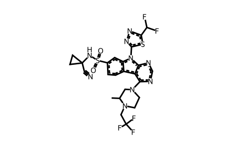 CC1CN(c2ncnc3c2c2ccc(S(=O)(=O)NC4(C#N)CC4)cc2n3-c2nnc(C(F)F)s2)CCN1CC(F)(F)F